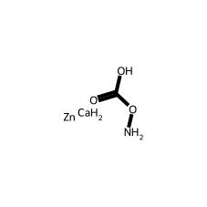 NOC(=O)O.[CaH2].[Zn]